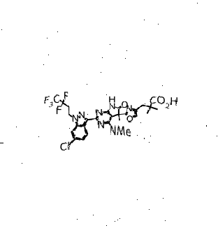 CNc1nc(-c2nn(CCC(F)(F)C(F)(F)F)c3cc(Cl)ccc23)nc2c1C(C)(c1nc(CC(C)(C)C(=O)O)co1)C(=O)N2